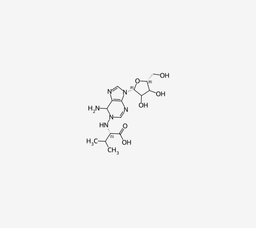 CC(C)[C@H](NN1C=Nc2c(ncn2[C@@H]2O[C@H](CO)C(O)C2O)C1N)C(=O)O